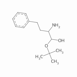 CC(C)(C)OC(O)C(N)CCc1ccccc1